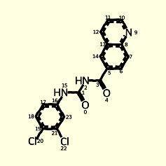 O=C(NC(=O)c1ccc2ncccc2c1)Nc1ccc(Cl)c(Cl)c1